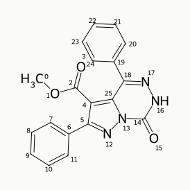 COC(=O)c1c(-c2ccccc2)nn2c(=O)[nH]nc(-c3ccccc3)c12